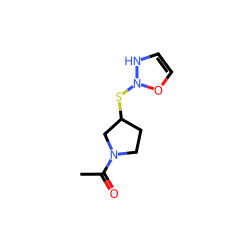 CC(=O)N1CCC(SN2NC=CO2)C1